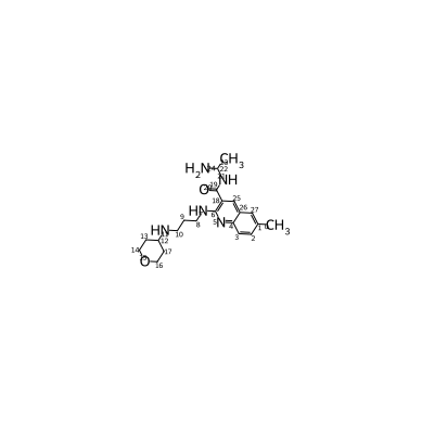 Cc1ccc2nc(NCCCNC3CCOCC3)c(C(=O)NC(C)N)cc2c1